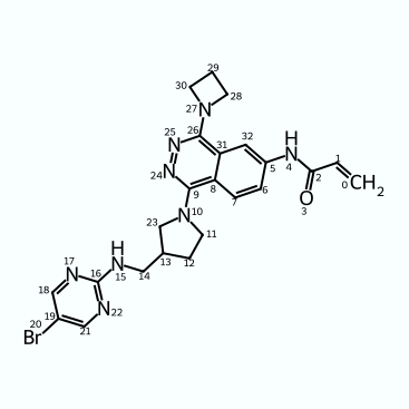 C=CC(=O)Nc1ccc2c(N3CCC(CNc4ncc(Br)cn4)C3)nnc(N3CCC3)c2c1